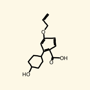 C=CCOc1ccc(C(=O)O)c(C2CCC(O)CC2)c1